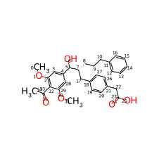 COc1cc(C(O)[C@H](CCCc2ccccc2)Cc2ccc(CC(=O)O)cc2)cc(OC)c1C(C)=O